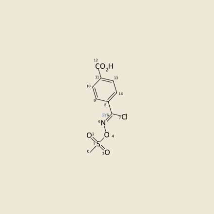 CS(=O)(=O)O/N=C(\Cl)c1ccc(C(=O)O)cc1